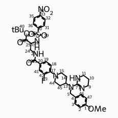 COc1ccc(CN(C2=NCCCN2)C2CCN(c3ccc(C(=O)NC[C@H](NS(=O)(=O)c4ccc([N+](=O)[O-])cc4)C(=O)OC(C)(C)C)cc3F)CC2)cc1